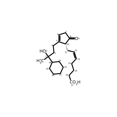 CC(O)(CCC1=CCC(=O)[C@@H]1C/C=C\CCCC(=O)O)C1CCCCC1